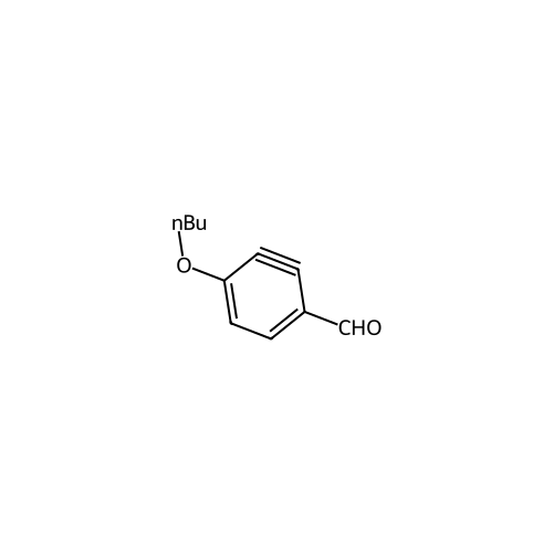 CCCCOc1c#cc(C=O)cc1